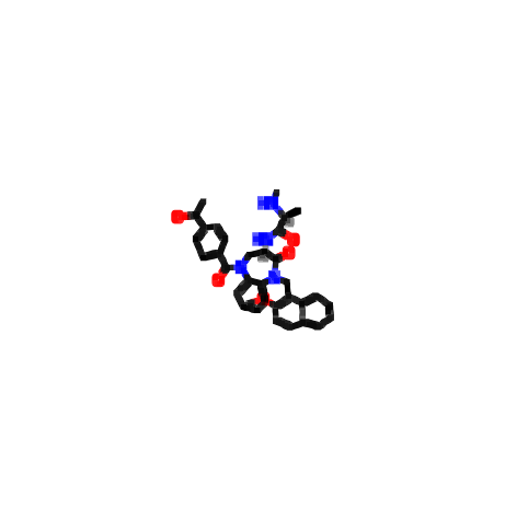 CN[C@@H](C)C(=O)N[C@H]1CN(C(=O)c2ccc(C(C)=O)cc2)c2ccccc2N(Cc2c(OC)ccc3ccccc23)C1=O